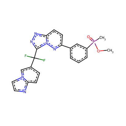 COP(C)(=O)c1cccc(-c2ccc3nnc(C(F)(F)c4ccc5nccn5c4)n3n2)c1